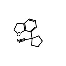 N#CC1(c2cccc3c2OCC3)CCCC1